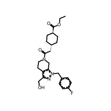 CCOC(=O)[C@H]1CC[C@H](CC(=O)N2CCc3c(CO)nn(Cc4ccc(F)cc4)c3C2)CC1